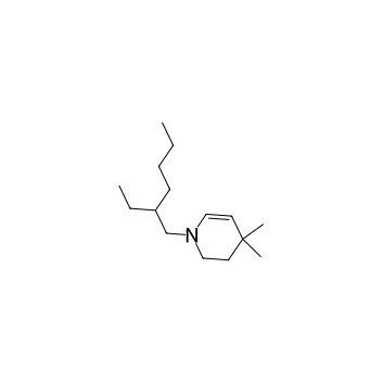 CCCCC(CC)CN1C=CC(C)(C)CC1